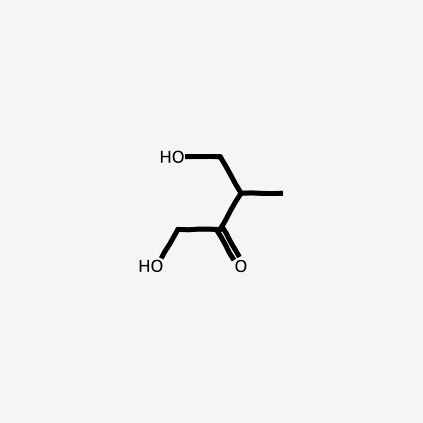 CC(CO)C(=O)CO